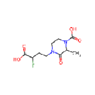 CC1C(=O)N(CCC(F)C(=O)O)CCN1C(=O)O